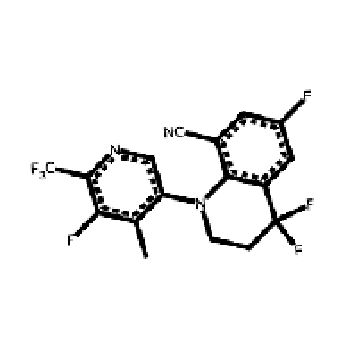 Cc1c(N2CCC(F)(F)c3cc(F)cc(C#N)c32)cnc(C(F)(F)F)c1F